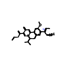 C=C1C=C2c3cc(OC)c(/C(C=N)=C/C)cc3CC(C(C)C)N2C=C1C(=C)CCC